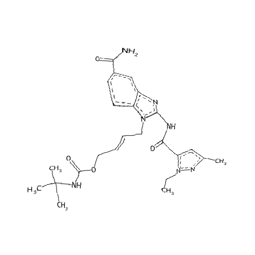 CCn1nc(C)cc1C(=O)Nc1nc2cc(C(N)=O)ccc2n1C/C=C/COC(=O)NC(C)(C)C